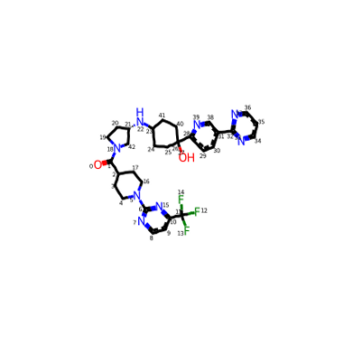 O=C(C1CCN(c2nccc(C(F)(F)F)n2)CC1)N1CC[C@H](NC2CCC(O)(c3ccc(-c4ncccn4)cn3)CC2)C1